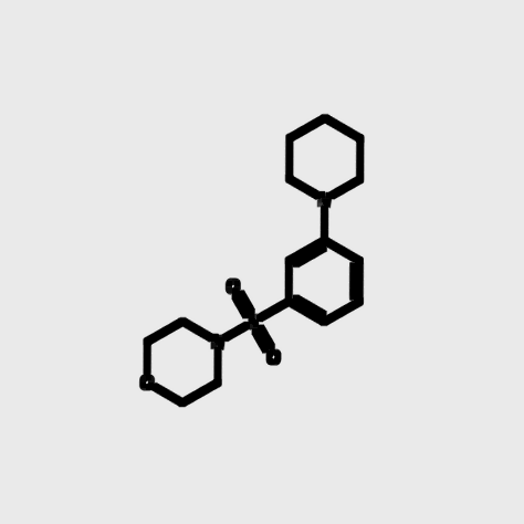 O=S(=O)(c1cccc(N2CCCCC2)c1)N1CCOCC1